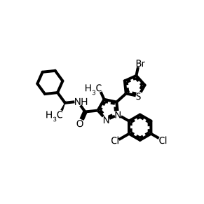 Cc1c(C(=O)N[C@@H](C)C2CCCCC2)nn(-c2ccc(Cl)cc2Cl)c1-c1cc(Br)cs1